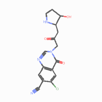 N#Cc1cc2ncn(CC(=O)CC3NCCC3O)c(=O)c2cc1Cl